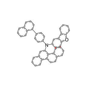 c1ccc2c(-c3ccc(N(c4ccc5oc6ccccc6c5c4)c4cc5ccccc5c5ccc6ccccc6c45)cc3)cccc2c1